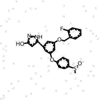 C[S+]([O-])c1ccc(Oc2cc(OCc3ccccc3F)cc(-c3cc(O)n[nH]3)c2)cc1